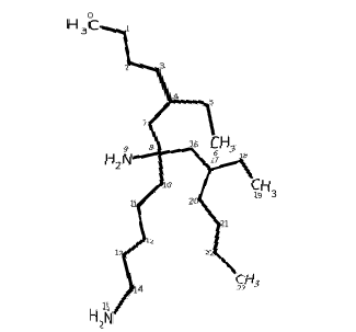 CCCCC(CC)CC(N)(CCCCCN)CC(CC)CCCC